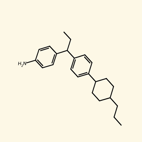 CCCC1CCC(c2ccc(C(CC)c3ccc(N)cc3)cc2)CC1